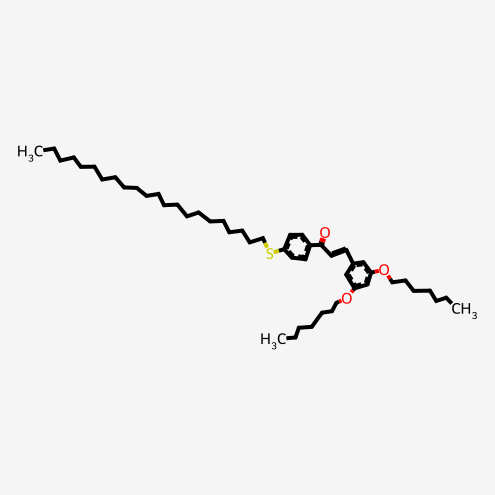 CCCCCCCCCCCCCCCCCCCCCCSc1ccc(C(=O)C=Cc2cc(OCCCCCCC)cc(OCCCCCCC)c2)cc1